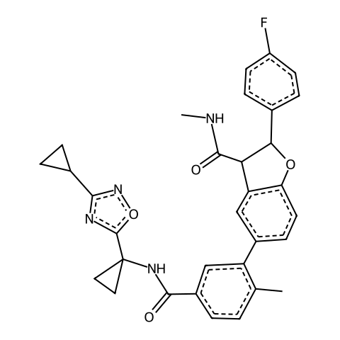 CNC(=O)C1c2cc(-c3cc(C(=O)NC4(c5nc(C6CC6)no5)CC4)ccc3C)ccc2OC1c1ccc(F)cc1